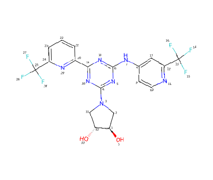 O[C@@H]1CN(c2nc(Nc3ccnc(C(F)(F)F)c3)nc(-c3cccc(C(F)(F)F)n3)n2)C[C@H]1O